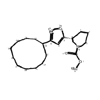 CC(C)(C)OC(=O)N1CCC[C@H]1c1cc(C2CCCCCCCCCC2)no1